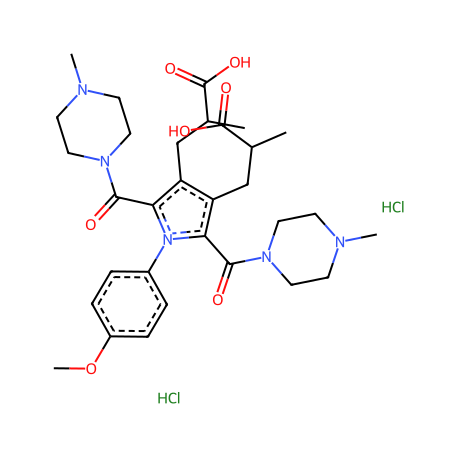 COc1ccc(-n2c(C(=O)N3CCN(C)CC3)c(CC(C)C(=O)O)c(CC(C)C(=O)O)c2C(=O)N2CCN(C)CC2)cc1.Cl.Cl